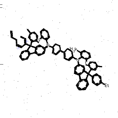 C=CC/C=C\C(=C/C)C1(c2cc(C)ccc2C)c2ccccc2-c2ccc(N(C3=CC=C(C4=CC=C(N(c5ccc6c(c5)C(c5ccc(CC)cc5)(c5cc(C)ccc5C)c5ccccc5-6)c5c(F)cccc5P)CC4)CC3)c3ccccc3F)cc21